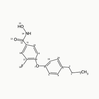 CCCc1ccc(Oc2ccc(C(=O)NO)cc2F)cc1